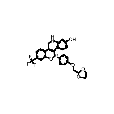 Oc1ccc2c(c1)NCC1=C2[C@@H](c2ccc(OCC3OCCO3)cc2)Oc2cc(C(F)(F)F)ccc21